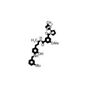 COc1cc(C(=O)N[C@@H](C)CCc2ccc(NCc3cccc(C(C)(C)C)c3)c(O)c2)cc(C(=O)N2CCC[C@@H]2c2nc(C)cs2)c1